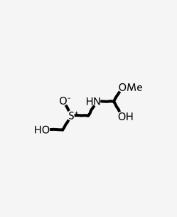 COC(O)NC[S+]([O-])CO